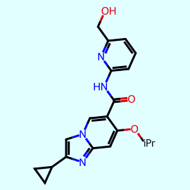 CC(C)Oc1cc2nc(C3CC3)cn2cc1C(=O)Nc1cccc(CO)n1